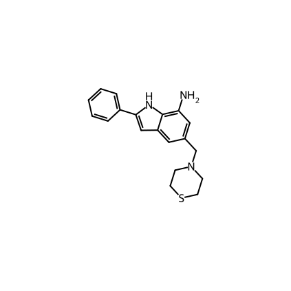 Nc1cc(CN2CCSCC2)cc2cc(-c3ccccc3)[nH]c12